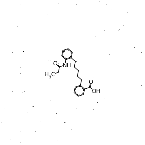 CCC(=O)Nc1ccccc1CCCCCc1ccccc1C(=O)O